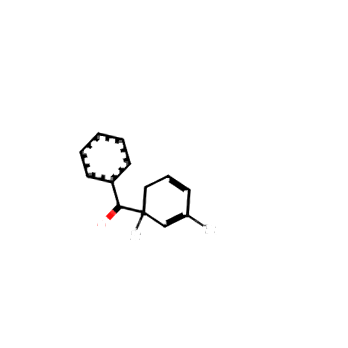 CCC1=CC(CC)(C(=O)c2ccccc2)CC=C1